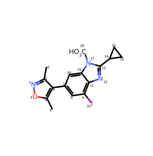 Cc1noc(C)c1-c1cc(I)c2nc(C3CC3)n(C(=O)O)c2c1